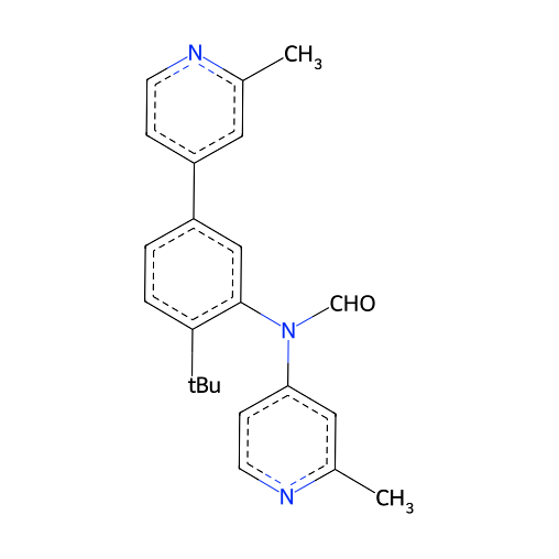 Cc1cc(-c2ccc(C(C)(C)C)c(N(C=O)c3ccnc(C)c3)c2)ccn1